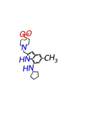 Cc1cc(NC2CCCC2)c2[nH]c(CN3CCS(=O)(=O)CC3)cc2c1